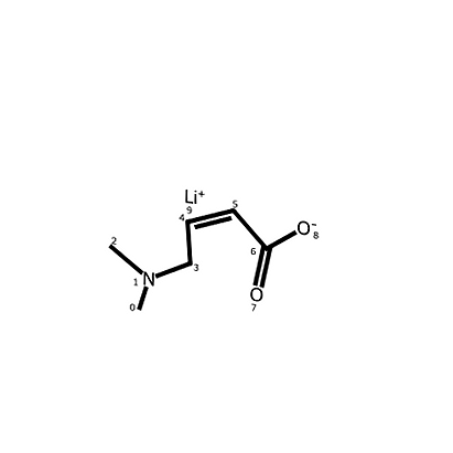 CN(C)C/C=C\C(=O)[O-].[Li+]